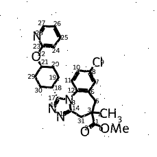 COC(=O)C1(C)Cc2cc(Cl)ccc2-n2c(nnc2[C@H]2CC[C@H](Oc3ccccn3)CC2)C1